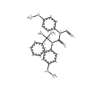 COc1ccc(N(C=O)C(=O)N(c2ccc(OC)cc2)C(C)(O)c2ccccc2)cc1